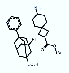 CC(C)(C)OC(=O)N1CC2(CCC(N)CC2)C1.CCC12CC3CC(C(=O)O)(C1)CC(c1ccccc1)(C3)C2